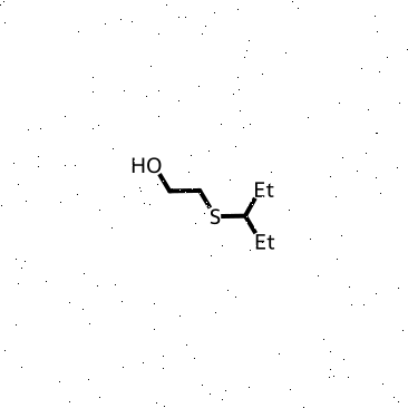 CCC(CC)SCCO